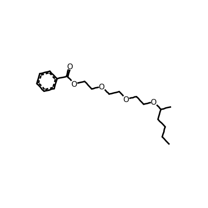 CCCCC(C)OCCOCCOCCOC(=O)c1ccccc1